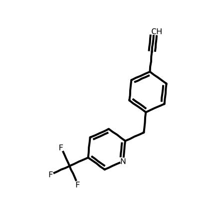 C#Cc1ccc(Cc2ccc(C(F)(F)F)cn2)cc1